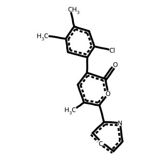 Cc1cc(Cl)c(-c2cc(C)c(-c3ccccn3)oc2=O)cc1C